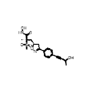 CC(O)C#Cc1ccc(C2=NO[C@@H](C[C@](C)(C(=O)NO)S(C)(=O)=O)C2)cc1